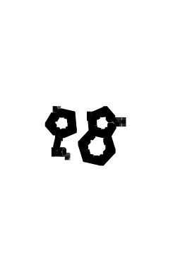 O=[N+]([O-])n1ccnc1.[c]1nc2ccccc2[nH]1